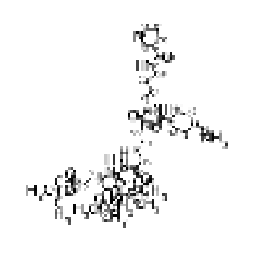 CC(C)(C)OC(=O)CC[C@H](NC(=O)N[C@@H](CCCCNC(=O)[C@H](CCCCNC(=O)c1cccnc1)NC(=O)C1CCC(CN)CC1)C(=O)OC(C)(C)C)C(=O)OC(C)(C)C